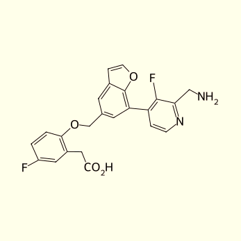 NCc1nccc(-c2cc(COc3ccc(F)cc3CC(=O)O)cc3ccoc23)c1F